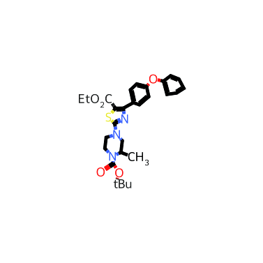 CCOC(=O)c1sc(N2CCN(C(=O)OC(C)(C)C)C(C)C2)nc1-c1ccc(Oc2ccccc2)cc1